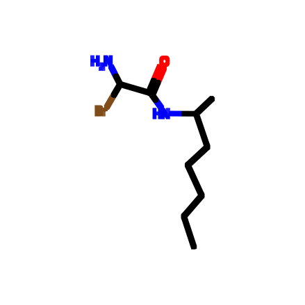 CCCCCC(C)NC(=O)C(N)Br